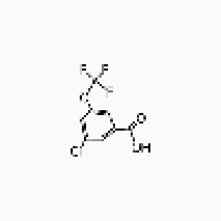 O=C(O)c1cc(Cl)cc(OC(F)(F)F)c1